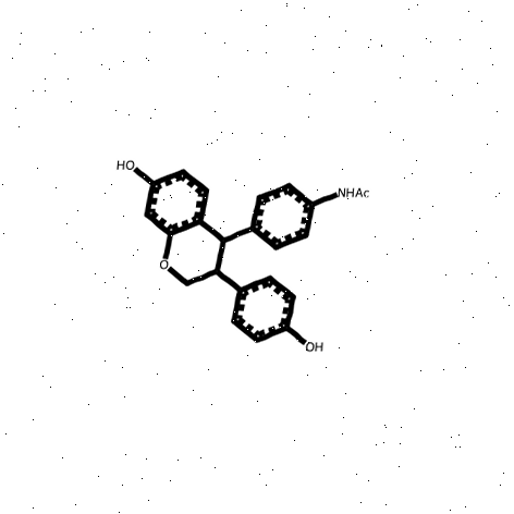 CC(=O)Nc1ccc(C2c3ccc(O)cc3OCC2c2ccc(O)cc2)cc1